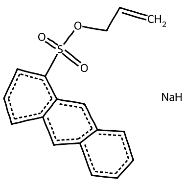 C=CCOS(=O)(=O)c1cccc2cc3ccccc3cc12.[NaH]